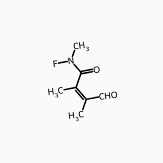 C/C(C=O)=C(\C)C(=O)N(C)F